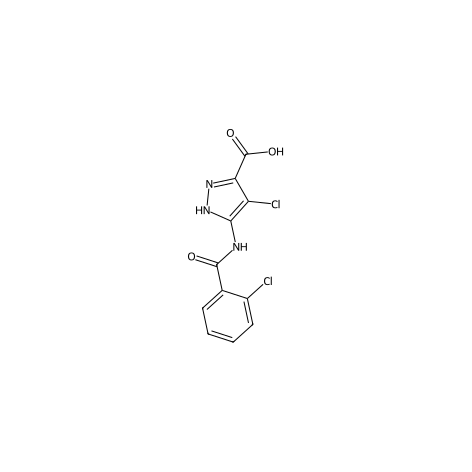 O=C(Nc1[nH]nc(C(=O)O)c1Cl)c1ccccc1Cl